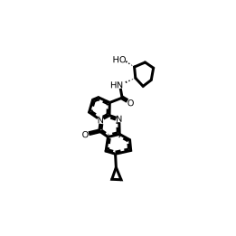 O=C(N[C@H]1CCCC[C@H]1O)c1cccn2c(=O)c3cc(C4CC4)ccc3nc12